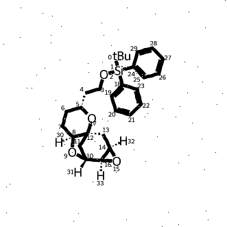 CC(C)(C)[Si](OCC[C@H]1CC[C@@H]2O[C@@H]3C[C@]2(C[C@H]2O[C@H]23)O1)(c1ccccc1)c1ccccc1